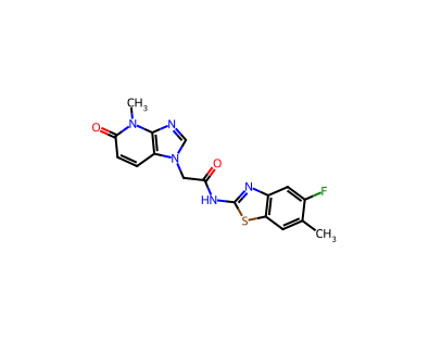 Cc1cc2sc(NC(=O)Cn3cnc4c3ccc(=O)n4C)nc2cc1F